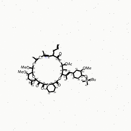 C=CCC1/C=C(\C)CC(C)CC(OC)C2OC(O)(C(=O)C(=O)N3CCCCC3C(=O)OC(C(C)=CC3CCC(O[Si](C)(C)C(C)(C)C)C(OC)C3)C(C)C(OC(C)=O)CC1=O)C(C)CC2OC